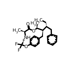 CC[C@H](Cc1ccccc1)[C@@H](Cc1ccc(OC(F)(F)F)cc1)[C@H](C)OC(=O)[C@H](C)N